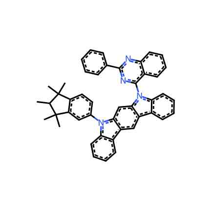 CC1C(C)(C)c2ccc(-n3c4ccccc4c4cc5c6ccccc6n(-c6nc(-c7ccccc7)nc7ccccc67)c5cc43)cc2C1(C)C